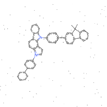 CC1(C)c2ccccc2-c2ccc(-c3ccc(-n4c5ccccc5c5ccc6c(ccn6-c6ccc(-c7ccccc7)cc6)c54)cc3)cc21